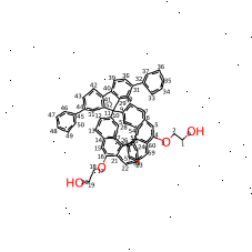 OCCOc1cc2ccc(C3(c4ccc5cc(OCCO)c6ccccc6c5c4)c4cc(-c5ccccc5)ccc4-c4ccc(-c5ccccc5)cc43)cc2c2ccccc12